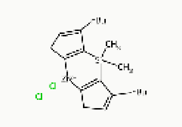 CCCCC1=CC[C]2=C1[Si](C)(C)C1=[C](CC=C1CCCC)[Zr+2]2.[Cl-].[Cl-]